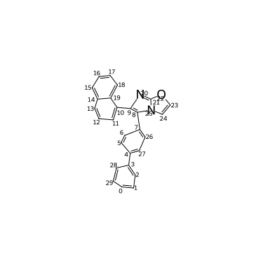 c1ccc(-c2ccc(-c3c(-c4cccc5ccccc45)nc4occn34)cc2)cc1